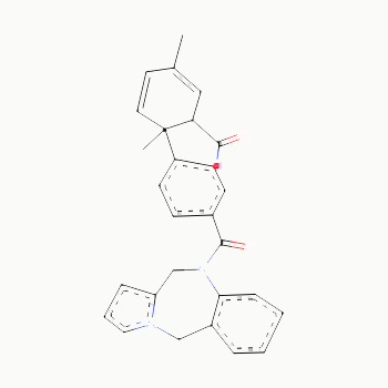 CC1=CC(C(N)=O)C(C)(c2ccc(C(=O)N3Cc4cccn4Cc4ccccc43)cc2)C=C1